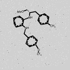 COC[C@H](Cc1ccc(C)cc1)Nc1ccccc1NCc1ccc(OC(F)(F)F)cc1